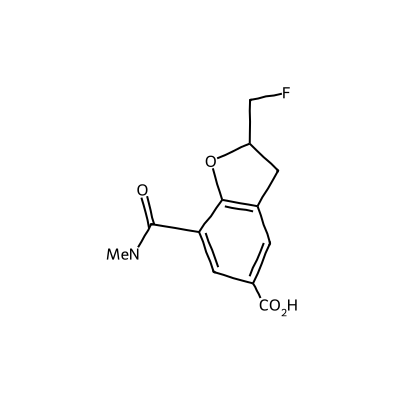 CNC(=O)c1cc(C(=O)O)cc2c1OC(CF)C2